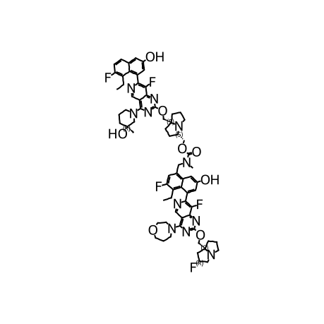 CCc1c(F)ccc2cc(O)cc(-c3ncc4c(N5CCC[C@@](C)(O)C5)nc(OC[C@@]56CCCN5[C@H](COC(=O)N(C)Cc5cc(F)c(CC)c7c(-c8ncc9c(N%10CCCOCC%10)nc(OC[C@@]%10%11CCCN%10C[C@H](F)C%11)nc9c8F)cc(O)cc57)CC6)nc4c3F)c12